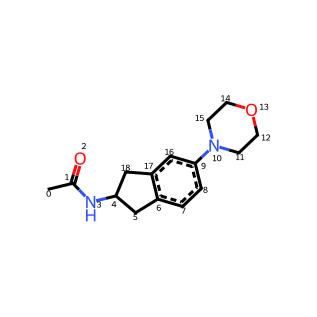 CC(=O)NC1Cc2ccc(N3CCOCC3)cc2C1